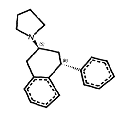 c1ccc([C@H]2C[C@H](N3CCCC3)Cc3ccccc32)cc1